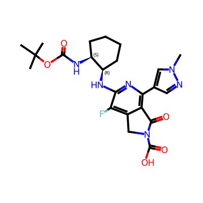 Cn1cc(-c2nc(N[C@@H]3CCCC[C@@H]3NC(=O)OC(C)(C)C)c(F)c3c2C(=O)N(C(=O)O)C3)cn1